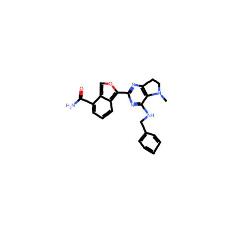 CN1CCc2nc(-c3occ4c(C(N)=O)cccc34)nc(NCc3ccccc3)c21